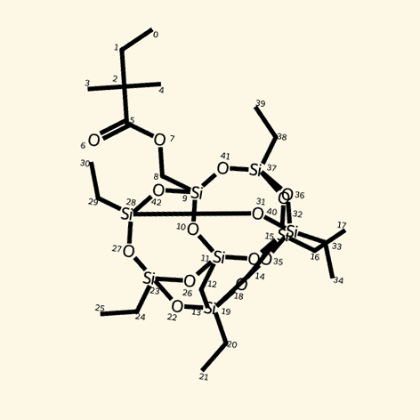 CCC(C)(C)C(=O)OC[Si]12O[Si]3(CC)O[Si]4(CC)O[Si]5(CC)O[Si](CC)(O3)O[Si](CC)(O[Si](CC)(O5)O[Si](CC)(O4)O1)O2